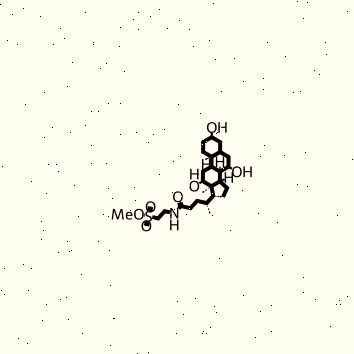 COS(=O)(=O)CCNC(=O)CC[C@@H](C)[C@H]1CC[C@H]2[C@@H]3[C@H](O)CC4C[C@H](O)CC[C@]4(C)[C@H]3C[C@H](O)[C@]12C